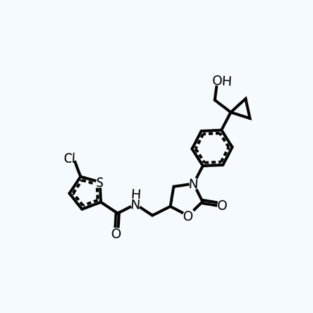 O=C(NCC1CN(c2ccc(C3(CO)CC3)cc2)C(=O)O1)c1ccc(Cl)s1